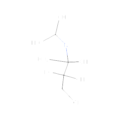 CCC(C)(C)C(C)(C)NC(C)C